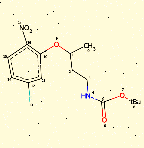 CC(CCNC(=O)OC(C)(C)C)Oc1cc(F)ccc1[N+](=O)[O-]